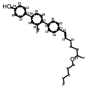 CCCCCOC(C)CCCC=Cc1ccc(-c2ccc(-c3ccc(O)cc3)cc2F)cc1